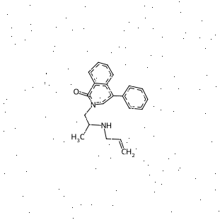 C=CCNC(C)Cn1cc(-c2ccccc2)c2ccccc2c1=O